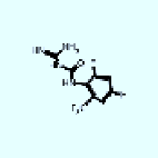 N=C(N)NC(=O)Nc1c(F)cc(F)cc1C(F)(F)F